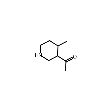 CC(=O)C1CNCCC1C